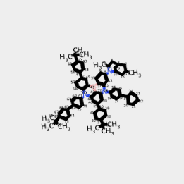 CC1CC2CC(C)N(c3ccc4c(c3)N(c3ccc(-c5ccccc5)cc3)c3cc(-c5ccc(C(C)(C)C)cc5)cc5c3B4c3cc(-c4ccc(C(C)(C)C)cc4)ccc3N5c3ccc(-c4ccc(C(C)(C)C)cc4)cc3)C(C1)C2